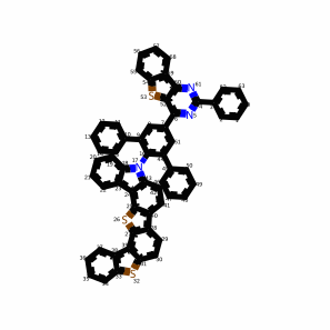 c1ccc(-c2nc(-c3cc(-c4ccccc4)c(-n4c5ccccc5c5c6sc7c(ccc8sc9ccccc9c87)c6ccc54)c(-c4ccccc4)c3)c3sc4ccccc4c3n2)cc1